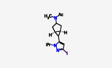 CC(=O)N(C)C1C[C@@H]2C(c3cc(I)nn3C(C)C)[C@@H]2C1